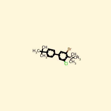 CC(C)(C)c1ccc(-c2cc(Cl)c([Si](C)(C)C)c(Br)c2)cc1